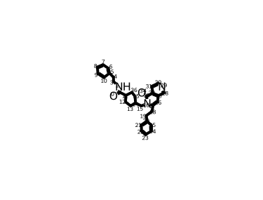 O=C(NCCc1ccccc1)C1CCC(Cn2c(CCc3ccccc3)cc3cnccc3c2=O)CC1